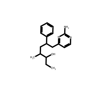 CCC(O)C(C)CC(Cc1ccnc(N)n1)c1ccccc1